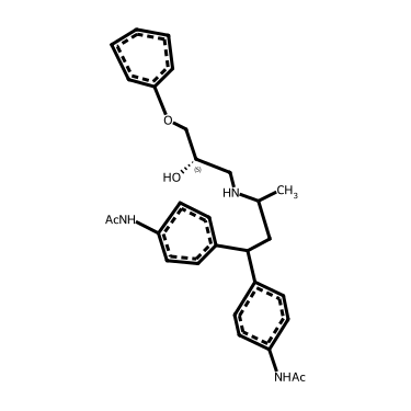 CC(=O)Nc1ccc(C(CC(C)NC[C@H](O)COc2ccccc2)c2ccc(NC(C)=O)cc2)cc1